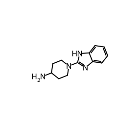 NC1CCN(c2nc3ccccc3[nH]2)CC1